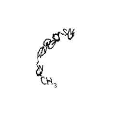 Cc1ccc(CCCN2CCN(C(=O)Oc3ccc(CCSc4ccccn4)cc3)CC2)nc1